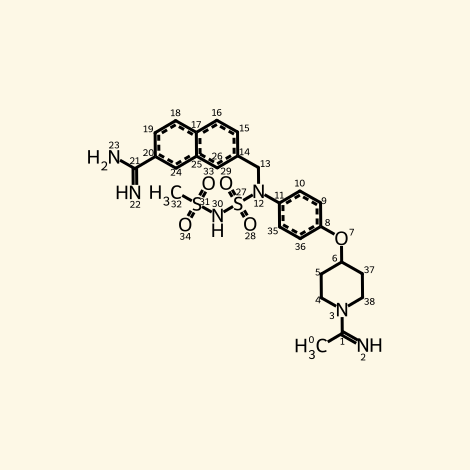 CC(=N)N1CCC(Oc2ccc(N(Cc3ccc4ccc(C(=N)N)cc4c3)S(=O)(=O)NS(C)(=O)=O)cc2)CC1